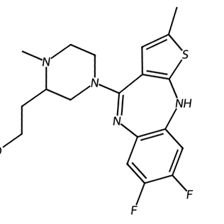 Cc1cc2c(s1)Nc1cc(F)c(F)cc1N=C2N1CCN(C)C(CCO)C1